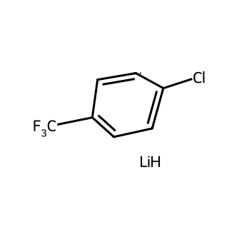 FC(F)(F)c1c[c]c(Cl)cc1.[LiH]